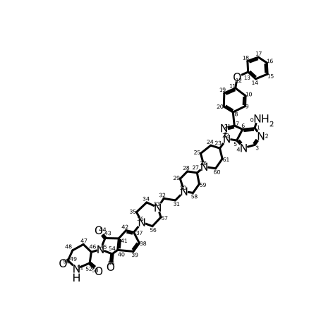 Nc1ncnc2c1c(-c1ccc(Oc3ccccc3)cc1)nn2C1CCN(C2CCN(CCN3CCN(c4ccc5c(c4)C(=O)N(C4CCC(=O)NC4=O)C5=O)CC3)CC2)CC1